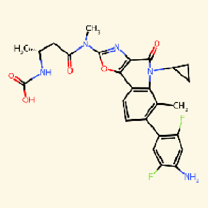 Cc1c(-c2cc(F)c(N)cc2F)ccc2c3oc(N(C)C(=O)C[C@@H](C)NC(=O)O)nc3c(=O)n(C3CC3)c12